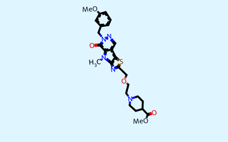 COC(=O)C1CCN(CCOCc2nc3c(s2)c2cnn(Cc4cccc(OC)c4)c(=O)c2n3C)CC1